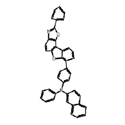 c1ccc(-c2nc3ccc4oc5c(-c6ccc(N(c7ccccc7)c7ccc8ccccc8c7)cc6)cccc5c4c3o2)cc1